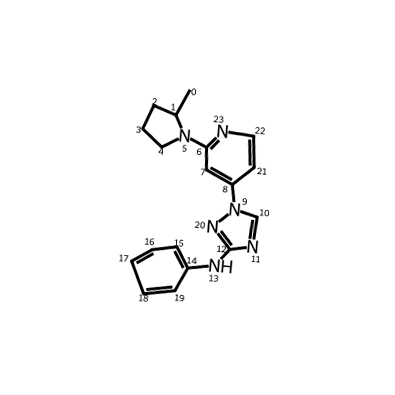 CC1CCCN1c1cc(-n2cnc(Nc3ccccc3)n2)ccn1